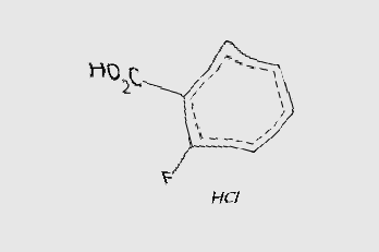 Cl.O=C(O)c1ccccc1F